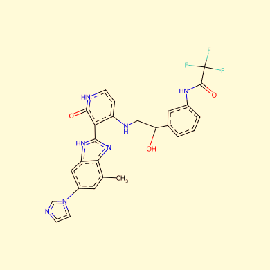 Cc1cc(-n2ccnc2)cc2[nH]c(-c3c(NCC(O)c4cccc(NC(=O)C(F)(F)F)c4)cc[nH]c3=O)nc12